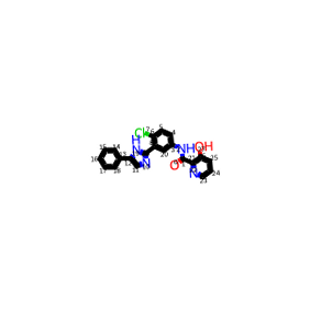 O=C(Nc1ccc(Cl)c(-c2ncc(-c3ccccc3)[nH]2)c1)c1ncccc1O